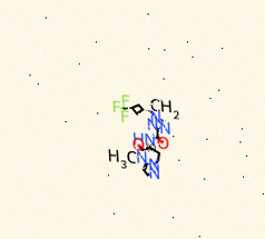 C=C([C@H]1C[C@H](C(F)(F)F)C1)n1cnc(C(=O)N[C@H]2CCn3nccc3N(C)C2=O)n1